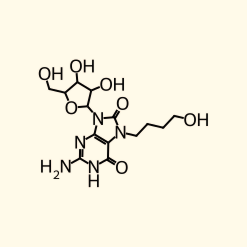 Nc1nc2c(c(=O)[nH]1)n(CCCCO)c(=O)n2C1OC(CO)C(O)C1O